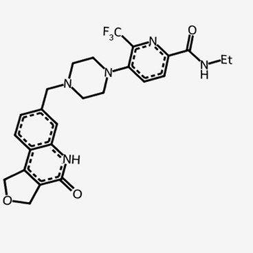 CCNC(=O)c1ccc(N2CCN(Cc3ccc4c5c(c(=O)[nH]c4c3)COC5)CC2)c(C(F)(F)F)n1